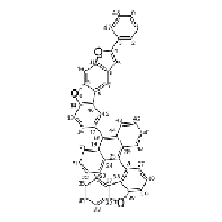 c1ccc(-c2cc3cc4c(cc3o2)oc2ccc(-c3c5ccccc5c(-c5cccc6oc7ccccc7c56)c5ccccc35)cc24)cc1